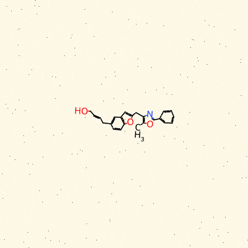 Cc1oc(-c2ccccc2)nc1Cc1cc2cc(CC=CCO)ccc2o1